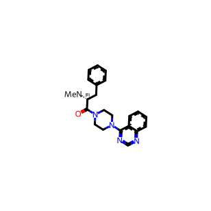 CN[C@H](Cc1ccccc1)C(=O)N1CCN(c2ncnc3ccccc23)CC1